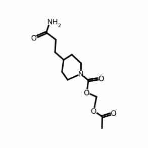 CC(=O)OCOC(=O)N1CCC(CCC(N)=O)CC1